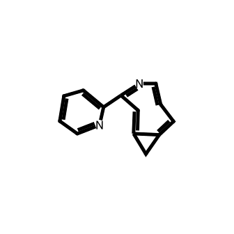 C1=C2/C/C2=C\C(c2ccccn2)=N/C=C/1